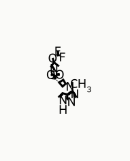 CN(c1ncnc2[nH]ccc12)[C@H]1C[C@@H](CS(=O)(=O)N2CC(OC(F)F)C2)C1